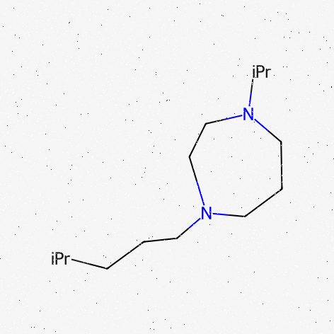 CC(C)CCCN1CCCN(C(C)C)CC1